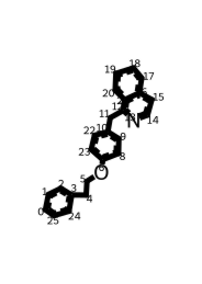 c1ccc(CCOc2ccc(Cc3nccc4ccccc34)cc2)cc1